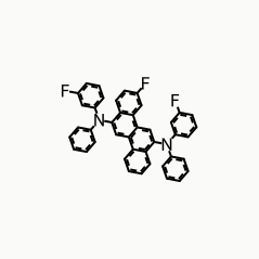 Fc1cccc(N(c2ccccc2)c2cc3c4cc(F)ccc4c(N(c4ccccc4)c4cccc(F)c4)cc3c3ccccc23)c1